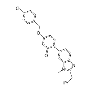 CC(C)Cc1nc2ccc(-n3ccc(OCc4ccc(Cl)cc4)cc3=O)cc2n1C